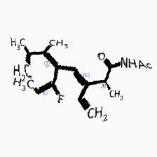 C=C\C(=C/C(=C(\C)C(=C)C)C(/F)=C\C)[C@H](C)C(=O)NC(C)=O